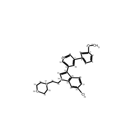 COc1cccc(-c2cncc(-c3cn(CCN4CCOCC4)c4cc(Cl)ccc34)c2)c1